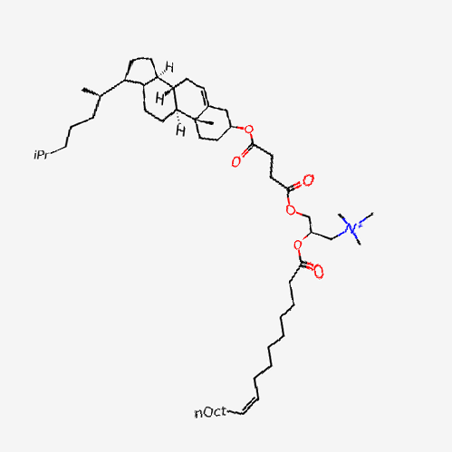 CCCCCCCC/C=C\CCCCCCCC(=O)OC(COC(=O)CCC(=O)O[C@H]1CC[C@@]2(C)C(=CC[C@H]3[C@@H]4CC[C@H]([C@H](C)CCCC(C)C)C4CC[C@@H]32)C1)C[N+](C)(C)C